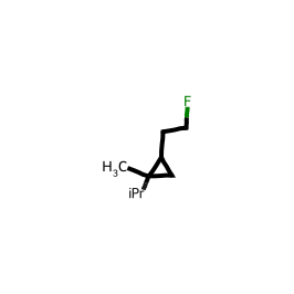 CC(C)C1(C)CC1CCF